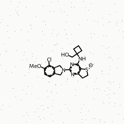 COc1ccc2c(c1Cl)CN(c1nc3c(c(NC4(CO)CCC4)n1)[S@+]([O-])CC3)C2